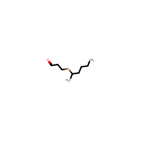 CCCCC(C)SCCC=O